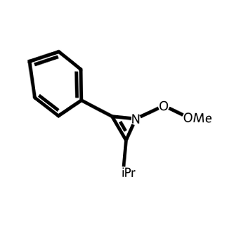 COON1C(c2ccccc2)=C1C(C)C